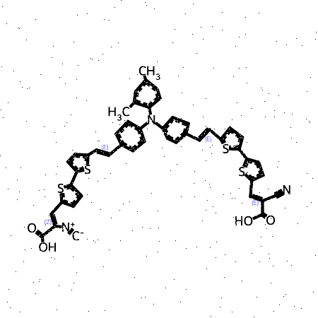 [C-]#[N+]/C(=C\c1ccc(-c2ccc(/C=C/c3ccc(N(c4ccc(/C=C/c5ccc(-c6ccc(/C=C(\C#N)C(=O)O)s6)s5)cc4)c4ccc(C)cc4C)cc3)s2)s1)C(=O)O